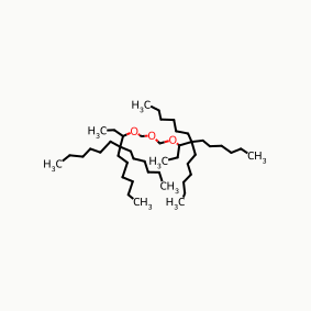 CCCCCCC(CCCCCC)(CCCCCC)C(CC)OCOCOC(CC)C(CCCCCC)(CCCCCC)CCCCCC